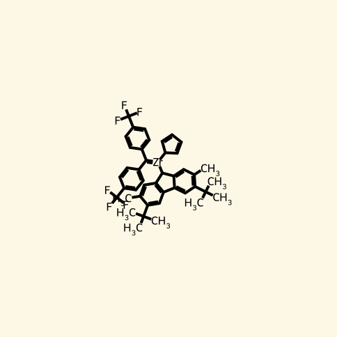 Cc1cc2c(cc1C(C)(C)C)-c1cc(C(C)(C)C)c(C)cc1[CH]2[Zr](=[C](c1ccc(C(F)(F)F)cc1)c1ccc(C(F)(F)F)cc1)[CH]1C=CC=C1